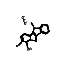 Cn1c2c(c3ccccc31)Cc1c-2ccc(Br)[c]1[Zr+3].[Cl-].[Cl-].[Cl-]